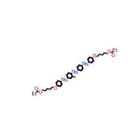 CCC(=O)OCCCCCOc1ccc(N=Nc2ccc(N=Nc3ccc(N=Nc4ccc(OCCCCCOC(=O)CC)cc4)cc3C)cc2)cc1